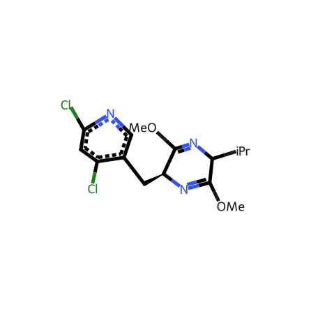 COC1=N[C@@H](Cc2cnc(Cl)cc2Cl)C(OC)=NC1C(C)C